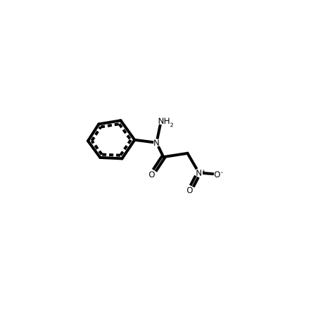 NN(C(=O)C[N+](=O)[O-])c1ccccc1